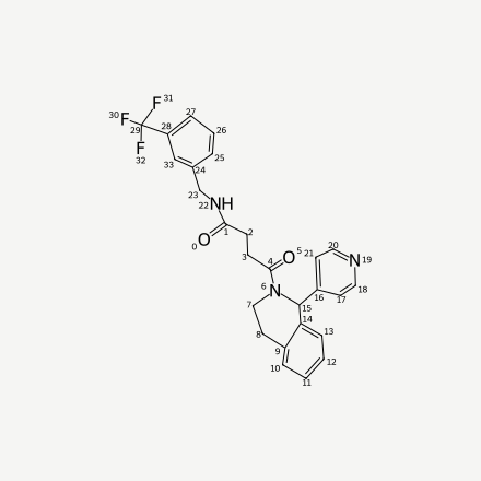 O=C(CCC(=O)N1CCc2ccccc2C1c1ccncc1)NCc1cccc(C(F)(F)F)c1